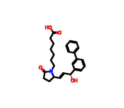 O=C(O)CCCCCCN1C(=O)CCC1/C=C/[C@@H](O)c1cccc(-c2ccccc2)c1